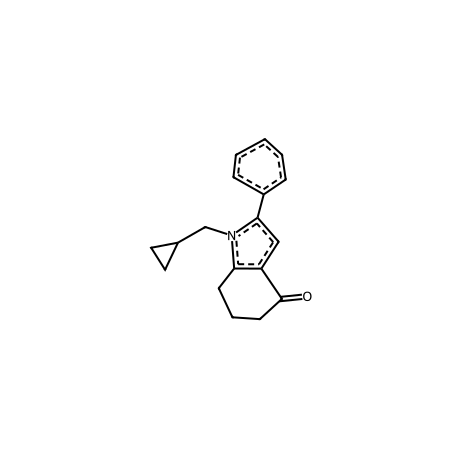 O=C1CCCc2c1cc(-c1ccccc1)n2CC1CC1